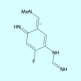 CN/C=C1/C=C(NC=N)C(F)=CC1=N